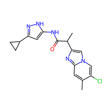 Cc1cc2nc(C(C)C(=O)Nc3cc(C4CC4)n[nH]3)cn2cc1Cl